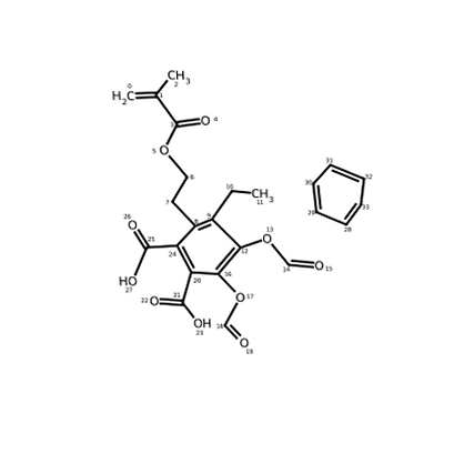 C=C(C)C(=O)OCCc1c(CC)c(OC=O)c(OC=O)c(C(=O)O)c1C(=O)O.c1ccccc1